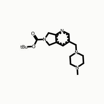 CN1CCN(Cc2cnc3c(c2)CN(C(=O)OC(C)(C)C)C3)CC1